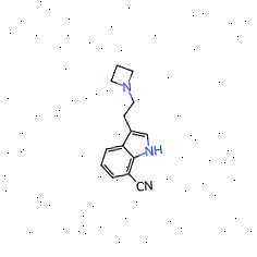 N#Cc1cccc2c(CCN3CCC3)c[nH]c12